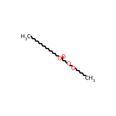 CCCCCCCCCCCCCCCCCCOC(=O)CCCOCCOCCCCCCCC